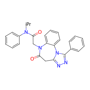 CC(C)N(C(=O)CN1C(=O)Cc2nnc(-c3ccccc3)n2-c2ccccc21)c1ccccc1